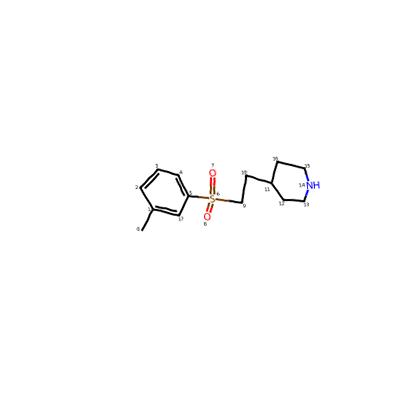 Cc1cccc(S(=O)(=O)CCC2CCNCC2)c1